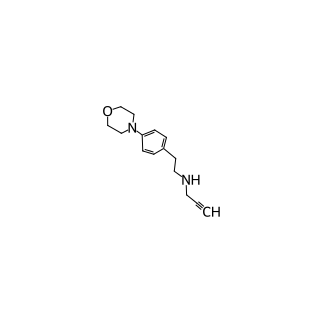 C#CCNCCc1ccc(N2CCOCC2)cc1